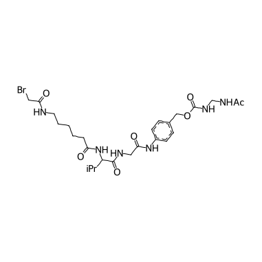 CC(=O)NCNC(=O)OCc1ccc(NC(=O)CNC(=O)C(NC(=O)CCCCCNC(=O)CBr)C(C)C)cc1